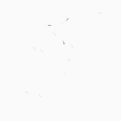 COCCOC[C@@]12C[C@@H](C(=O)Nc3nc(Br)ccc3C)N(C(=O)Cn3nc(C(C)=O)c4cc(-c5cnc(C)nc5)cc(C)c43)[C@@H]1C2